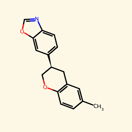 Cc1ccc2c(c1)C[C@H](c1ccc3ncoc3c1)CO2